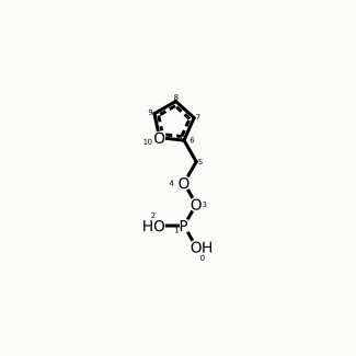 OP(O)OOCc1ccco1